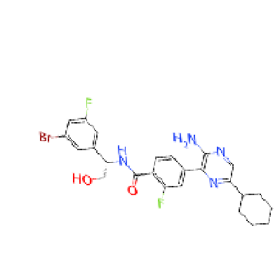 Nc1ncc(C2CCCCC2)nc1-c1ccc(C(=O)N[C@H](CO)c2cc(F)cc(Br)c2)c(F)c1